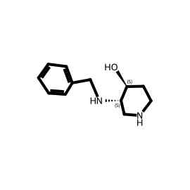 O[C@H]1CCNC[C@@H]1NCc1ccccc1